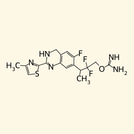 Cc1csc(C2=Nc3cc(C(C)C(F)(F)COC(=N)N)c(F)cc3CN2)n1